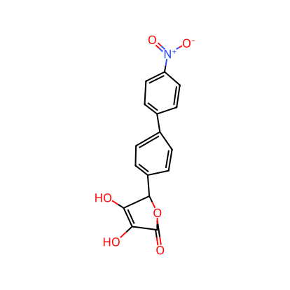 O=C1OC(c2ccc(-c3ccc([N+](=O)[O-])cc3)cc2)C(O)=C1O